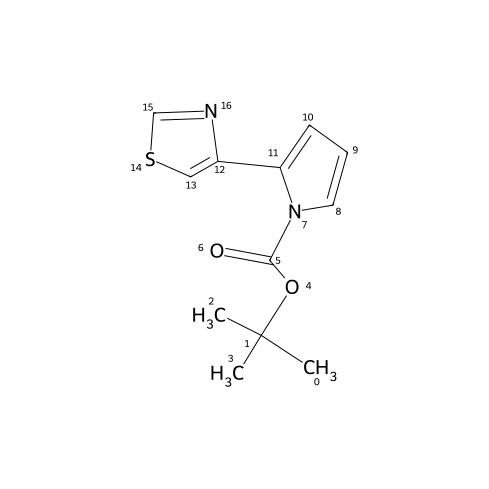 CC(C)(C)OC(=O)n1cccc1-c1cscn1